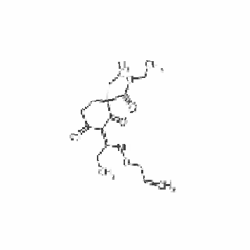 C=CCONC(CC)=C1C(=O)CCC(CC)(C(=O)OCC)C1=O